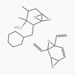 C=CC12C=CC3OC3C1(C=C)O2.CC1CC23OC2(O3)C(CC2CCCCC2)C1(C)C(=O)O